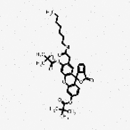 CCCCCCCNC(=O)Cc1cc2c(cc1OC(=O)C(C)(C)C)Oc1cc(OC(=O)C(C)(C)C)ccc1C21OC(=O)c2ccccc21